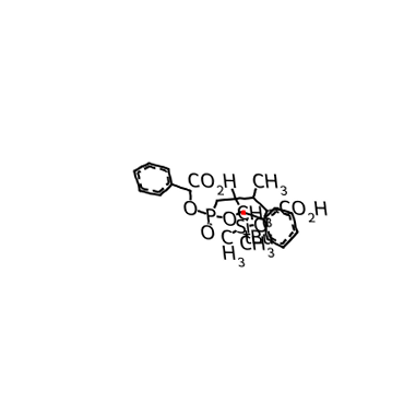 CC([C@H](O[Si](C)(C)C(C)(C)C)C(=O)O)C(C)(CP(=O)(OCc1ccccc1)OCc1ccccc1)C(=O)O